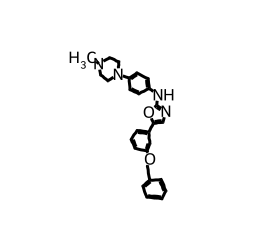 CN1CCN(c2ccc(Nc3ncc(-c4cccc(OCc5ccccc5)c4)o3)cc2)CC1